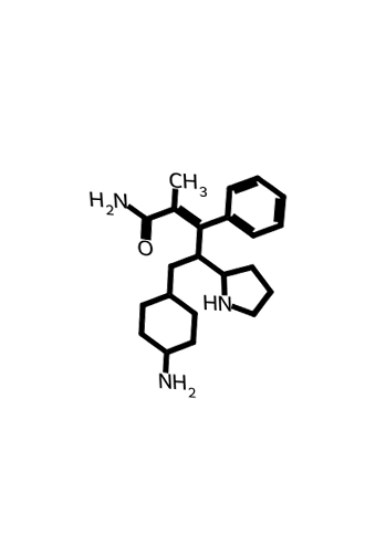 C/C(C(N)=O)=C(\c1ccccc1)C(CC1CCC(N)CC1)C1CCCN1